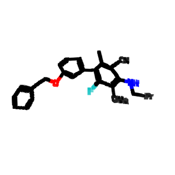 COc1c(F)c(-c2cccc(OCc3ccccc3)c2)c(C)c(C#N)c1NCC(C)C